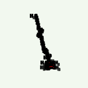 CCCCCCCCCCOc1cccc(-c2cccc(OCCOCCOCCOc3ccc(COC(=O)NCC[SiH2]O[Si]45O[Si]6(C)O[Si]7(C)O[SiH]8O[Si](C)(O6)O[Si](C)(O[Si](C)(O8)O[Si](C)(O7)O4)O5)cc3)c2)c1